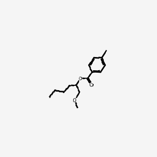 CCCCC(COC)OC(=O)c1ccc(C)cc1